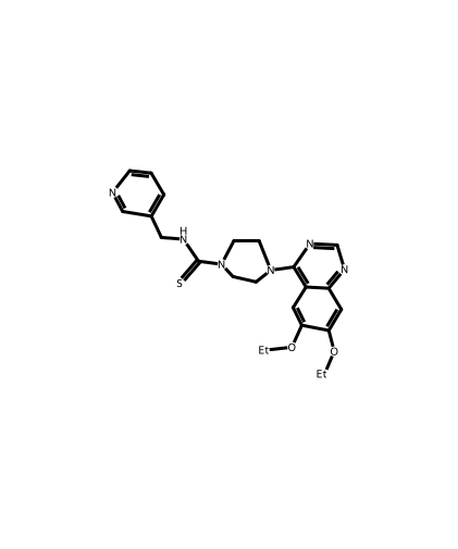 CCOc1cc2ncnc(N3CCN(C(=S)NCc4cccnc4)CC3)c2cc1OCC